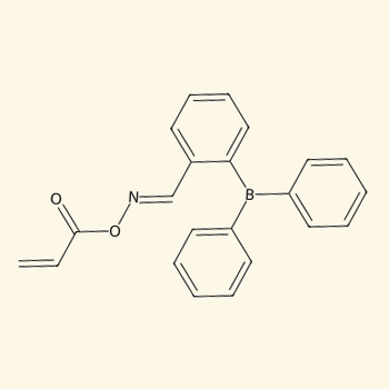 C=CC(=O)ON=Cc1ccccc1B(c1ccccc1)c1ccccc1